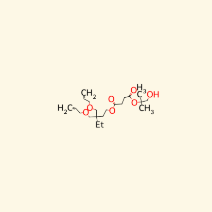 C=CCOCC(CC)(CCOC(=O)CCC(=O)OC(C)(C)CO)COCC=C